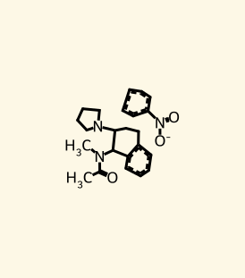 CC(=O)N(C)C1c2ccccc2CCC1N1CCCC1.O=[N+]([O-])c1ccccc1